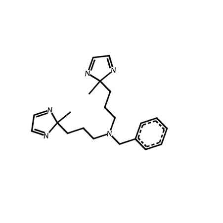 CC1(CCCN(CCCC2(C)N=CC=N2)Cc2ccccc2)N=CC=N1